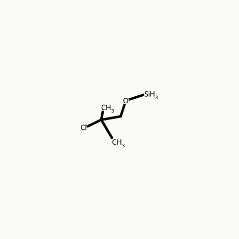 CC(C)(Cl)CO[SiH3]